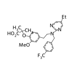 CCc1cnc(N(CCc2ccc(OC(C)(C)C(=O)O)c(OC)c2)Cc2ccc(C(F)(F)F)cc2)nc1